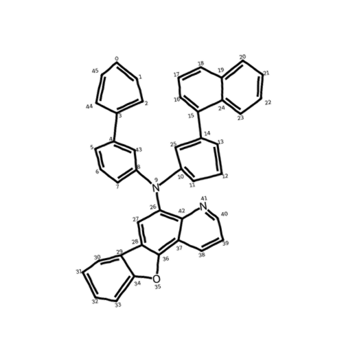 c1ccc(-c2cccc(N(c3cccc(-c4cccc5ccccc45)c3)c3cc4c5ccccc5oc4c4cccnc34)c2)cc1